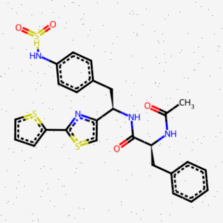 CC(=O)N[C@@H](Cc1ccccc1)C(=O)N[C@H](Cc1ccc(N[SH](=O)=O)cc1)c1csc(-c2cccs2)n1